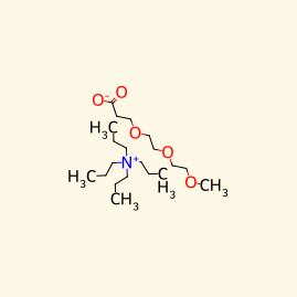 CCC[N+](CCC)(CCC)CCC.COCCOCCOCCC(=O)[O-]